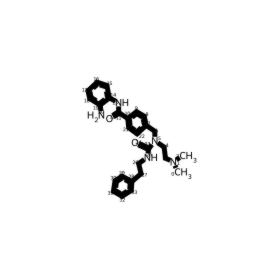 CN(C)CCN(Cc1ccc(C(=O)Nc2ccccc2N)cc1)C(=O)NCCc1ccccc1